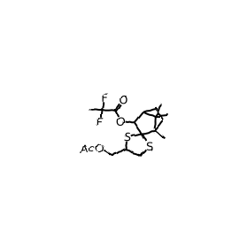 CC(=O)OCC1CSC2(S1)C(OC(=O)C(C)(F)F)C1CCC2(C)C1(C)C